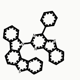 c1ccc(-c2nc(-n3c4ccccc4c4ccc5sc6ccccc6c5c43)nc3c2sc2ccccc23)cc1